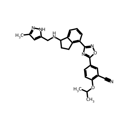 Cc1cc(CNC2CCc3c(-c4noc(-c5ccc(OC(C)C)c(C#N)c5)n4)cccc32)[nH]n1